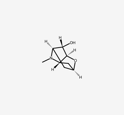 CN1[C@@H]2C[C@H]3C[C@H]1[C@H](O3)[C@H]2O